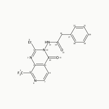 CCc1nc2c(C(F)(F)F)nccc2c(=O)n1NC(=O)Cc1ccccc1